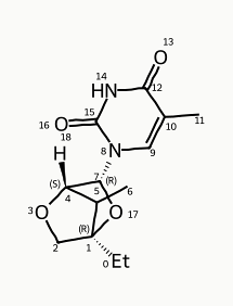 CC[C@]12CO[C@@H](C1C)[C@H](n1cc(C)c(=O)[nH]c1=O)O2